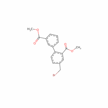 COC(=O)c1cccc(-c2ccc(CBr)cc2C(=O)OC)c1